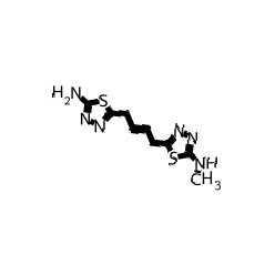 CNc1nnc(C/C=C/Cc2nnc(N)s2)s1